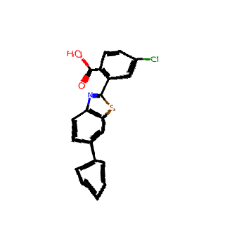 O=C(O)c1ccc(Cl)cc1-c1nc2ccc(-c3ccccc3)cc2s1